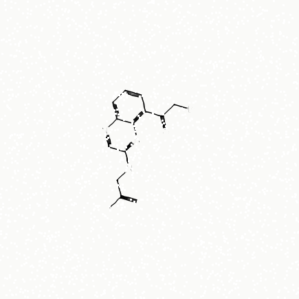 C=C(C)CNc1cnc2cccc(C(=O)CBr)c2n1